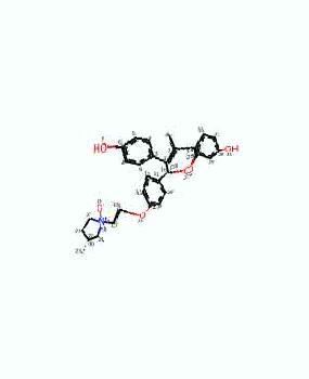 CC1=C(c2ccc(O)cc2)[C@H](c2ccc(OCC[N+]3([O-])CC[C@@H](C)C3)cc2)Oc2cc(O)ccc21